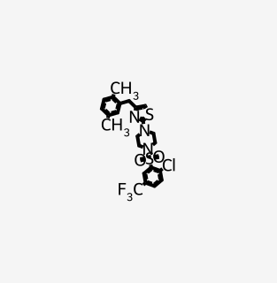 Cc1ccc(C)c(Cc2csc(N3CCN(S(=O)(=O)c4cc(C(F)(F)F)ccc4Cl)CC3)n2)c1